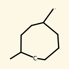 [CH2]C1CCCCC(C)CC1